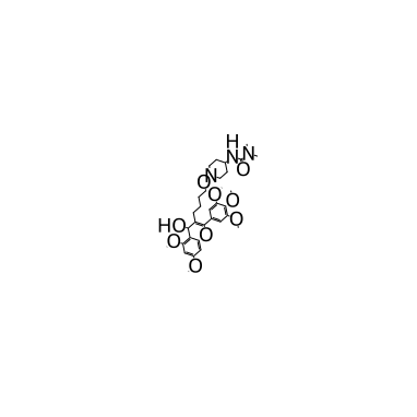 COc1cc(OC)c2c(c1)OC(c1cc(OC)c(OC)c(OC)c1)=C(CCCCON1CCC(NC(=O)N(C)C)CC1)C2O